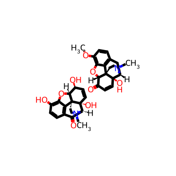 CN1CC[C@]23c4c5ccc(O)c4O[C@H]2[C@@H](O)C=C[C@@]3(O)[C@H]1C5=O.COc1ccc2c3c1O[C@H]1C(=O)C=C[C@@]4(O)[C@@H](C2)N(C)CC[C@]314